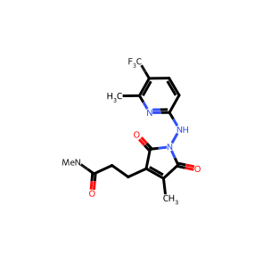 CNC(=O)CCC1=C(C)C(=O)N(Nc2ccc(C(F)(F)F)c(C)n2)C1=O